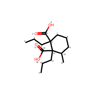 CCCC1(C(=O)O)CCCC(C)C1(CCC)C(=O)O